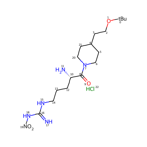 CC(C)(C)OCCC1CCN(C(=O)[C@@H](N)CCCNC(=N)N[N+](=O)[O-])CC1.Cl